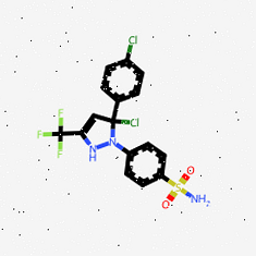 NS(=O)(=O)c1ccc(N2NC(C(F)(F)F)=CC2(Cl)c2ccc(Cl)cc2)cc1